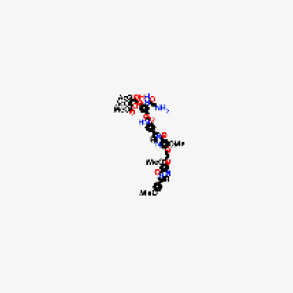 COC(=O)[C@H]1O[C@H](Oc2ccc(COC(=O)Nc3ccc(C4=CN5C(=O)c6cc(OC)c(OCCCOc7cc8c(cc7OC)C(=O)N7C=C(c9ccc(OC)cc9)C[C@H]7C=N8)cc6N=C[C@@H]5C4)cc3)cc2NC(=O)CCN)[C@H](O)[C@@H](OC(C)=O)[C@@H]1OC(C)=O